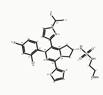 COCCNS(=O)(=O)N[C@H]1CC2=C(c3ccn(C(F)F)n3)[C@H](c3ccc(F)cc3Cl)N=C(c3nccs3)N2C1